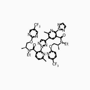 CCN(C(=O)c1ccc(C)nc1-n1ncc(-c2cc(C(=O)N(CC)[C@@H](C)COc3ccc(C(F)(F)F)cn3)c(-n3nccn3)nc2C)n1)[C@@H](C)COc1ncc(C(F)(F)F)cn1